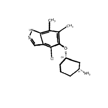 Cc1c(O[C@H]2CCC[C@@H](N)C2)c(Cl)c2cn[nH]c2c1C